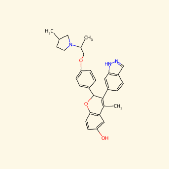 CC1=C(c2ccc3cn[nH]c3c2)C(c2ccc(OCC(C)N3CCC(C)C3)cc2)Oc2ccc(O)cc21